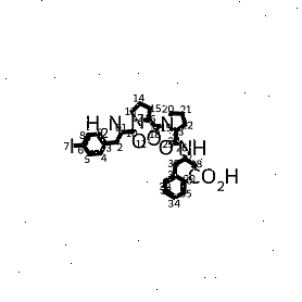 NC(Cc1ccc(I)cc1)C(=O)N1CCCC1C(=O)N1CCCC1C(=O)NC(CC(=O)O)Cc1ccccc1